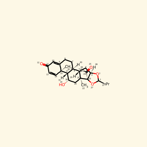 CCCC1O[C@@H]2C[C@H]3[C@@H]4CCC5=CC(=O)C=C[C@]5(C)[C@H]4[C@@H](O)C[C@]3(C)[C@]2(C(=O)CC)O1